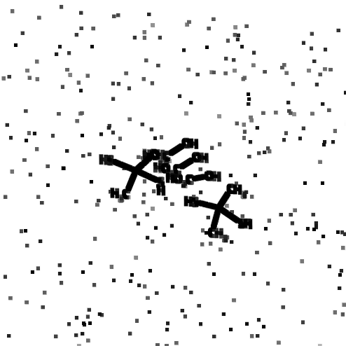 CC(C)(S)S.CC(C)(S)S.O=C(O)O.O=C(O)O.O=C(O)O